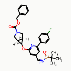 CC(C)(C)[S+]([O-])/N=C\c1cc(OC2[C@H]3CN(C(=O)OCc4ccccc4)C[C@@H]23)nc(-c2ccc(F)cc2)c1